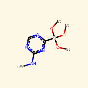 CCCNc1ncnc([Si](OCC)(OCC)OCC)n1